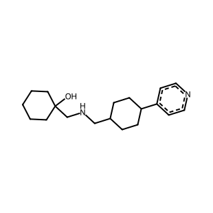 OC1(CNCC2CCC(c3ccncc3)CC2)CCCCC1